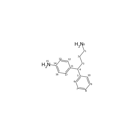 NCCCC(c1ccccc1)c1ccc(N)cc1